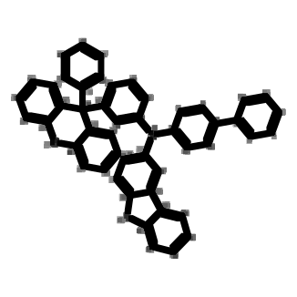 c1ccc(-c2ccc(N(c3cccc(C4(c5ccccc5)c5ccccc5Oc5ccccc54)c3)c3ccc4sc5ccccc5c4c3)cc2)cc1